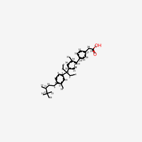 CCC(CC)(c1ccc(CCC(C)C(C)(C)C)c(C)c1)c1ccc(-c2ccc(CC(=O)O)cc2)c(C)c1